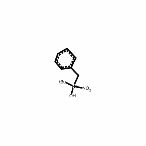 CC(C)(C)[N+](O)(Cc1ccccc1)[N+](=O)[O-]